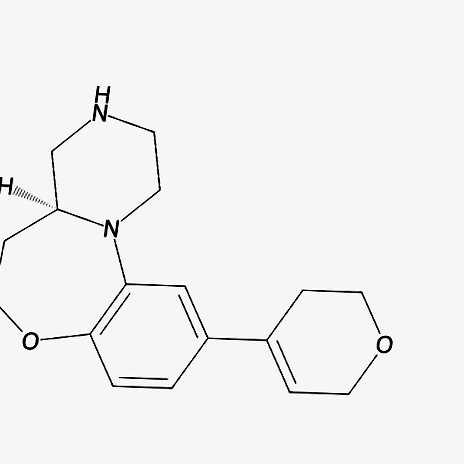 C1=C(c2ccc3c(c2)N2CCNC[C@@H]2CCO3)CCOC1